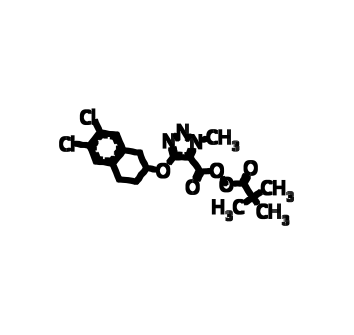 Cn1nnc(OC2CCc3cc(Cl)c(Cl)cc3C2)c1C(=O)OOC(=O)C(C)(C)C